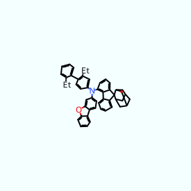 CCc1ccccc1-c1ccc(N(c2ccc3c(c2)oc2ccccc23)c2cccc3c2-c2ccccc2C32C3CC4CC(C3)CC2C4)cc1CC